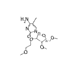 COCCOC1C(OC)[C@@H](COC)O[C@H]1n1cc(C)c(N)nc1=O